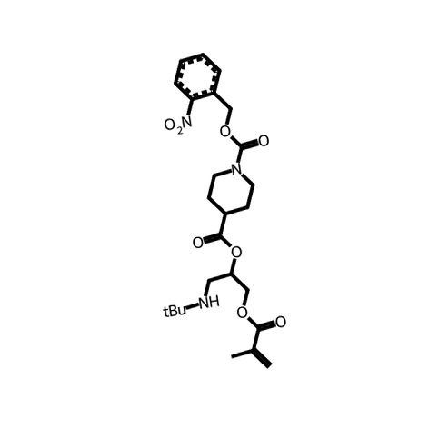 C=C(C)C(=O)OCC(CNC(C)(C)C)OC(=O)C1CCN(C(=O)OCc2ccccc2[N+](=O)[O-])CC1